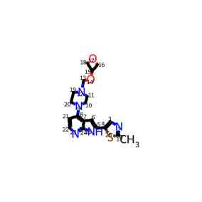 Cc1ncc(-c2cc3c(N4CCN(COC5COC5)CC4)ccnc3[nH]2)s1